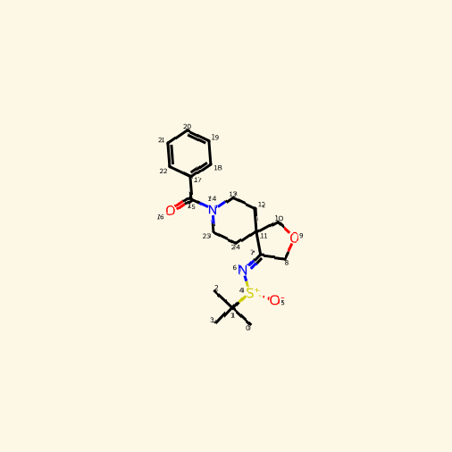 CC(C)(C)[S@@+]([O-])N=C1COCC12CCN(C(=O)c1ccccc1)CC2